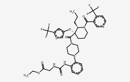 CCC[C@H]1N(C(=O)c2cnccc2C(F)(F)F)CCC[C@@]1(Oc1csc(C(F)(F)F)c1)C(=O)N1CCN(c2ccccc2NC(=O)NCC(=O)OCC)CC1